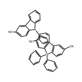 N#Cc1ccc([Si](c2ccccc2)(c2ccccc2)c2ccccc2)c(-c2ccc(-n3c4ccccc4c4cc(C#N)ccc43)c(C#N)c2)c1